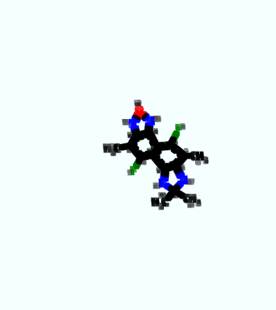 Cc1c(F)c2c(c(F)c(C)c3nonc32)c2c1=NC(C)(C)N=2